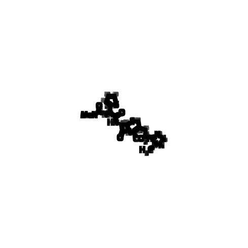 CNC(=O)NC(C(=O)N[C@H]1C(=O)N2C(C(=O)O)=C(CSc3nnnn3C)CSC12)c1cccs1